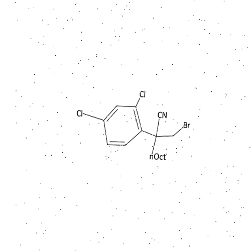 CCCCCCCCC(C#N)(CBr)c1ccc(Cl)cc1Cl